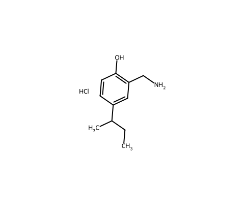 CCC(C)c1ccc(O)c(CN)c1.Cl